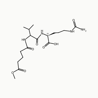 COC(=O)CCCC(=O)NC(C(=O)N[C@@H](CCCNC(N)=O)C(=O)O)C(C)C